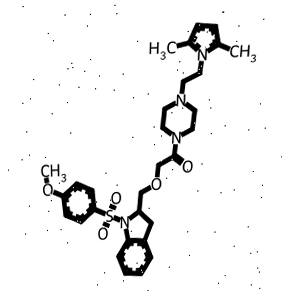 COc1ccc(S(=O)(=O)N2c3ccccc3CC2COCC(=O)N2CCN(CCn3c(C)ccc3C)CC2)cc1